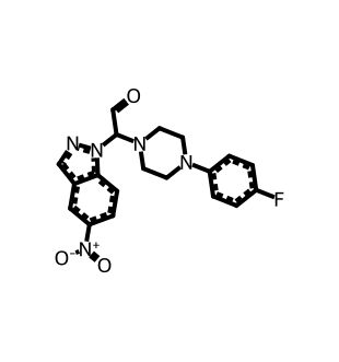 O=CC(N1CCN(c2ccc(F)cc2)CC1)n1ncc2cc([N+](=O)[O-])ccc21